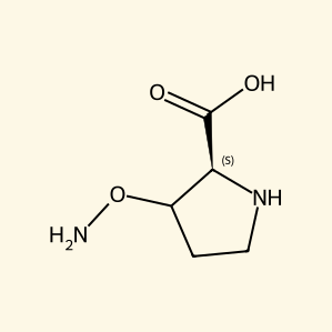 NOC1CCN[C@@H]1C(=O)O